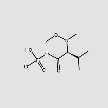 CON(C)[C@H](C(=O)OP(=O)(O)Cl)C(C)C